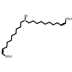 CCCCCCCC/C=C\CCCCCCCCN(CCCCCCCC/C=C\CCCCCCCC)C(C)=O